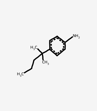 CCCC(C)(C)c1ccc(N)cc1